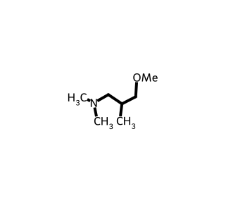 COCC(C)CN(C)C